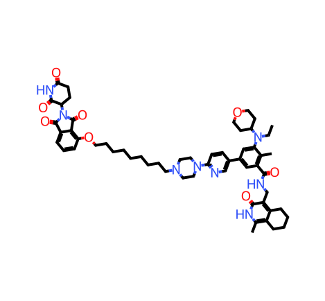 CCN(c1cc(-c2ccc(N3CCN(CCCCCCCCCOc4cccc5c4C(=O)N(C4CCC(=O)NC4=O)C5=O)CC3)nc2)cc(C(=O)NCc2c3c(c(C)[nH]c2=O)CCCC3)c1C)C1CCOCC1